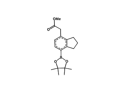 COC(=O)Cc1ccc(B2OC(C)(C)C(C)(C)O2)c2c1CCC2